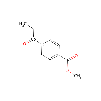 C[CH2][Co](=[O])[c]1ccc(C(=O)OC)cc1